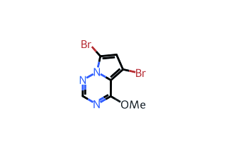 COc1ncnn2c(Br)cc(Br)c12